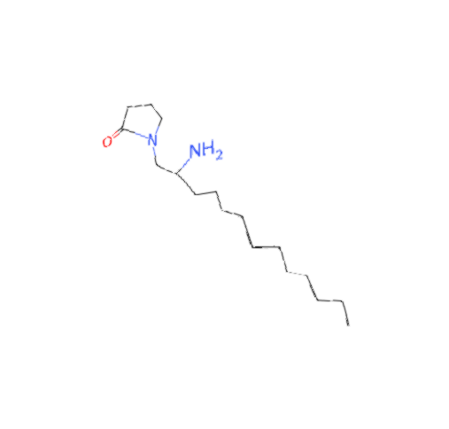 CCCCCCCCCCCC(N)CN1CCCC1=O